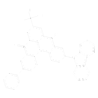 CC(C)(C)c1cc2c(=O)c3cc(-c4ccccc4)ccc3n3c4ccc(-n5c6ccccc6c6ccccc65)cc4c(=O)c(c1)c23